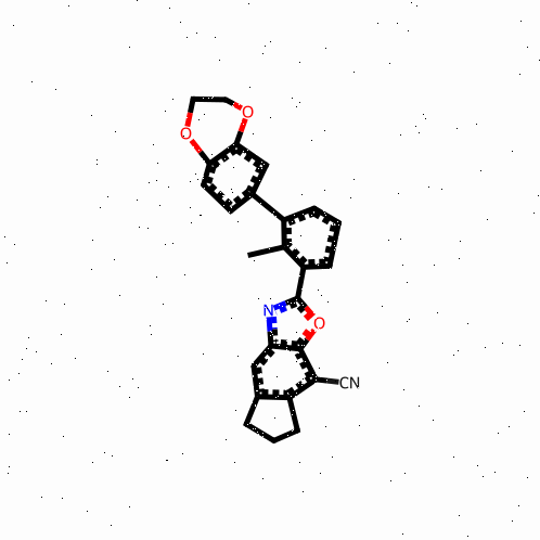 Cc1c(-c2ccc3c(c2)OCCO3)cccc1-c1nc2cc3c(c(C#N)c2o1)CCC3